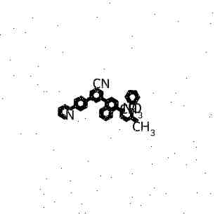 C/C=C(\C=C/C(C)c1ccc(-c2cc(C#N)cc(-c3ccc(-c4ccccn4)cc3)c2)c2ccccc12)c1nc2ccccc2o1